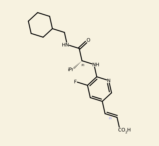 CC(C)[C@@H](Nc1ncc(/C=C/C(=O)O)cc1F)C(=O)NCC1CCCCC1